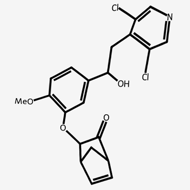 COc1ccc(C(O)Cc2c(Cl)cncc2Cl)cc1OC1C(=O)C2C=CC1C2